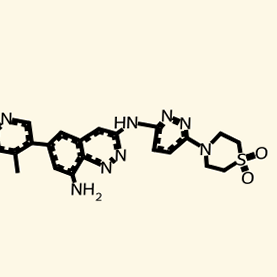 Cc1ccncc1-c1cc(N)c2nnc(Nc3ccc(N4CCS(=O)(=O)CC4)nn3)cc2c1